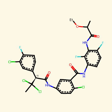 CCOC(C)C(=O)Nc1c(F)ccc(NC(=O)c2cc(NC(=O)[C@H](c3ccc(F)c(Cl)c3)C(C)(Cl)Cl)ccc2Cl)c1F